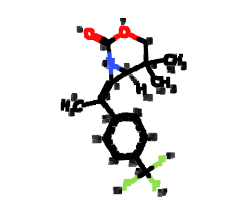 C/C(=C1/[C@H]2N1C(=O)OCC2(C)C)c1ccc(C(F)(F)F)cc1